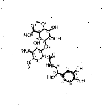 COC1C(C(=O)O)OC(OC2C(O)C(O)[C@H](OC)O[C@H]2C(=O)NCC(O)c2ccc(O)c(O)c2)C(O)C1O